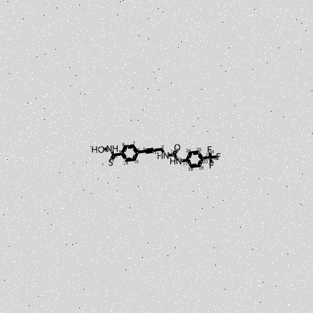 O=C(NCC#Cc1ccc(C(=S)NO)cc1)Nc1ccc(C(F)(F)F)cc1